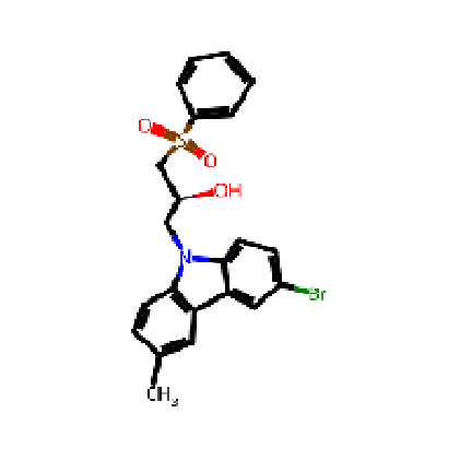 Cc1ccc2c(c1)c1cc(Br)ccc1n2C[C@H](O)CS(=O)(=O)c1ccccc1